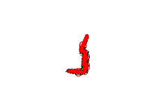 CCCCCCCCOCCc1ccc(-c2ccc(-c3ccc(/C=C/c4ccc(-c5ccc(-c6ccc(CCOCCCCCCCC)s6)s5)cc4)cc3)s2)s1